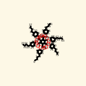 CCCCc1ccc(OC(=O)c2c(C(=O)Oc3ccc(CCCC)cc3)c(C(=O)Oc3ccc(CCCC)cc3)c(C(=O)Oc3ccc(CCCC)cc3)c(C(=O)Oc3ccc(CCCC)cc3)c2C(=O)Oc2ccc(CCCC)cc2)cc1